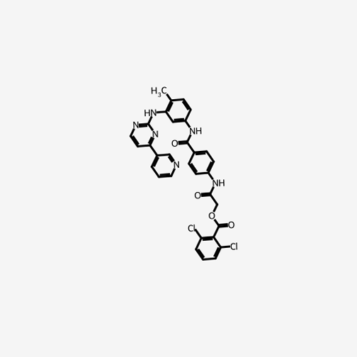 Cc1ccc(NC(=O)c2ccc(NC(=O)COC(=O)c3c(Cl)cccc3Cl)cc2)cc1Nc1nccc(-c2cccnc2)n1